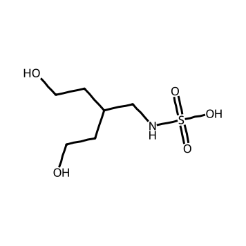 O=S(=O)(O)NCC(CCO)CCO